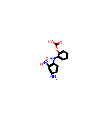 Nc1ccc(Nc2ccccc2OC(=O)O)c([N+](=O)[O-])c1